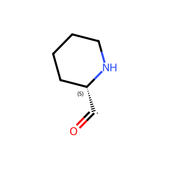 O=[C][C@@H]1CCCCN1